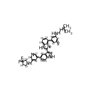 CN(C)CCNc1cc(F)cc(-c2cccc3[nH]c(-c4n[nH]c5cnc(-c6cncc(CN7CCC(F)(F)C7)c6)cc45)nc23)c1